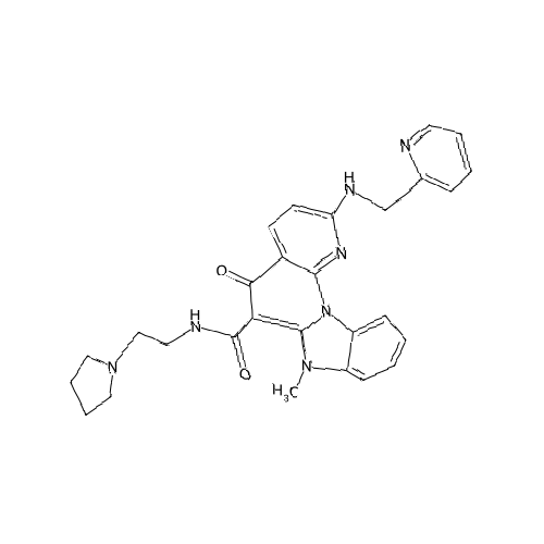 Cn1c2ccccc2n2c3nc(NCc4ccccn4)ccc3c(=O)c(C(=O)NCCN3CCCC3)c12